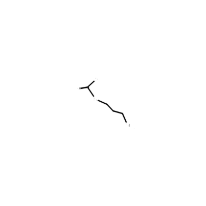 NCCCNC(N)N